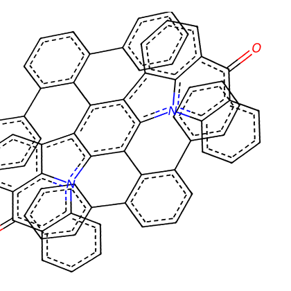 O=c1c2ccccc2n2c3c(-c4c(-c5ccccc5)cccc4-c4ccccc4)c4c(c(-c5c(-c6ccccc6)cccc5-c5ccccc5)c3c3cccc1c32)c1cccc2c(=O)c3ccccc3n4c21